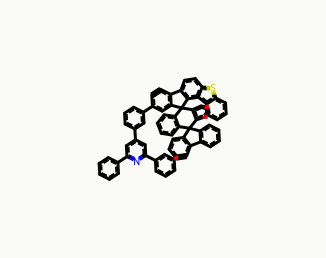 c1ccc2c(c#1)-c1ccccc1C21c2ccccc2C2(c3cc(-c4cccc(-c5cc(-c6ccccc6)nc(-c6ccccc6)c5)c4)c#cc3-c3ccc4sc5ccccc5c4c32)c2ccccc21